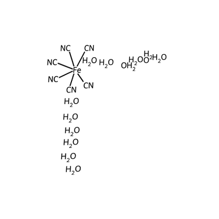 N#[C][Fe]([C]#N)([C]#N)([C]#N)([C]#N)[C]#N.O.O.O.O.O.O.O.O.O.O.O.O